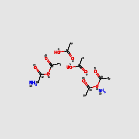 CC(=O)O.CC(=O)O.CC(=O)OC(C)=O.CC(=O)OC(C)=O.N.N